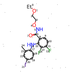 CCOCCONC(=O)c1ccc(F)c(F)c1Nc1ccc(I)cc1C